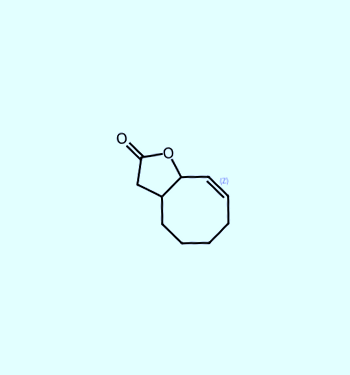 O=C1CC2CCCC/C=C\C2O1